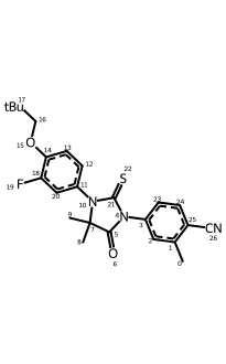 Cc1cc(N2C(=O)C(C)(C)N(c3ccc(OCC(C)(C)C)c(F)c3)C2=S)ccc1C#N